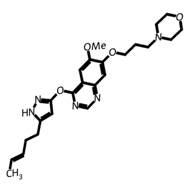 C/C=C/CCc1cc(Oc2ncnc3cc(OCCCN4CCOCC4)c(OC)cc23)n[nH]1